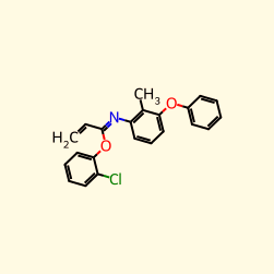 C=CC(=Nc1cccc(Oc2ccccc2)c1C)Oc1ccccc1Cl